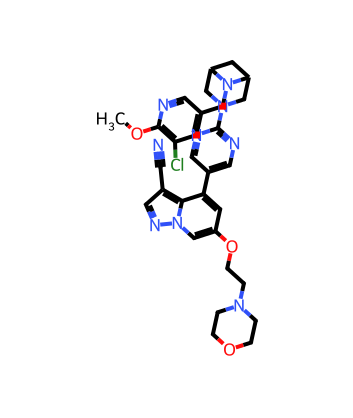 COc1ncc(CN2C3CC2CN(c2ncc(-c4cc(OCCN5CCOCC5)cn5ncc(C#N)c45)cn2)C3)cc1Cl